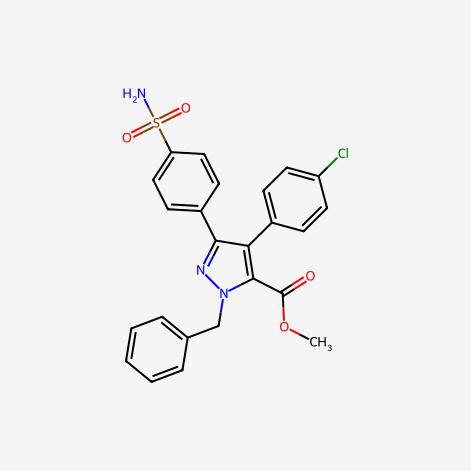 COC(=O)c1c(-c2ccc(Cl)cc2)c(-c2ccc(S(N)(=O)=O)cc2)nn1Cc1ccccc1